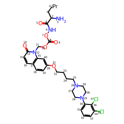 CC(C)CC(N)C(=O)NOC(=O)OCn1c(=O)ccc2ccc(OCCCCN3CCN(c4cccc(Cl)c4Cl)CC3)cc21